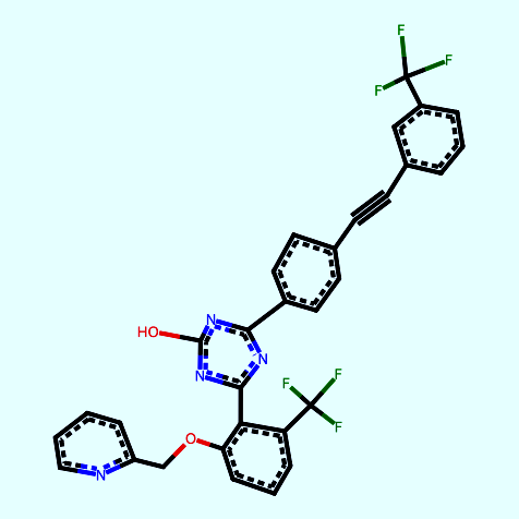 Oc1nc(-c2ccc(C#Cc3cccc(C(F)(F)F)c3)cc2)nc(-c2c(OCc3ccccn3)cccc2C(F)(F)F)n1